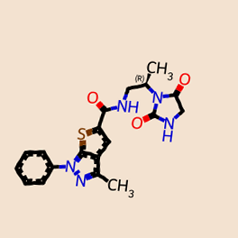 Cc1nn(-c2ccccc2)c2sc(C(=O)NC[C@@H](C)N3C(=O)CNC3=O)cc12